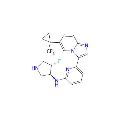 F[C@H]1CNC[C@@H]1Nc1cccc(-c2cnc3ccc(C4(C(F)(F)F)CC4)cn23)n1